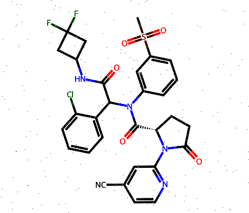 CS(=O)(=O)c1cccc(N(C(=O)[C@@H]2CCC(=O)N2c2cc(C#N)ccn2)C(C(=O)NC2CC(F)(F)C2)c2ccccc2Cl)c1